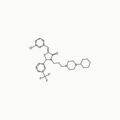 O=C1C(=Cc2cccc(Cl)c2)SC(c2cccc(C(F)(F)F)c2)N1CCCN1CCN(C2CCCCC2)CC1